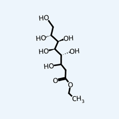 CCOC(=O)CC(O)[C@@H](O)[C@@H](O)[C@H](O)[C@H](O)CO